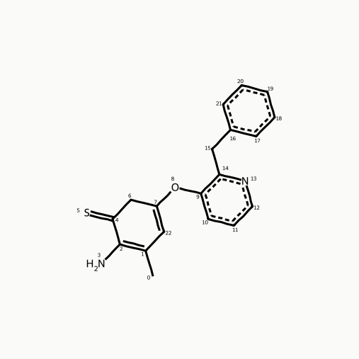 CC1=C(N)C(=S)CC(Oc2cccnc2Cc2ccccc2)=C1